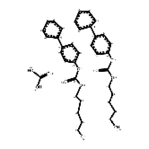 CCCCCCOC(=O)Oc1ccc(-c2ccccc2)cc1.CCCCCCOC(=O)Oc1ccc(-c2ccccc2)cc1.O=C(O)O